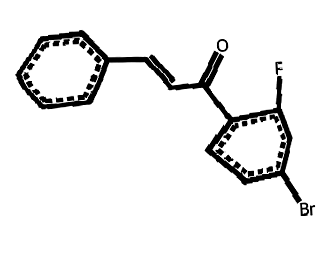 O=C(/C=C/c1ccccc1)c1ccc(Br)cc1F